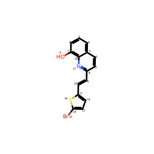 Oc1cccc2ccc(C=Cc3ccc(Br)s3)nc12